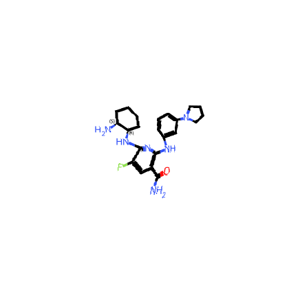 NC(=O)c1cc(F)c(N[C@@H]2CCCC[C@@H]2N)nc1Nc1cccc(N2CCCC2)c1